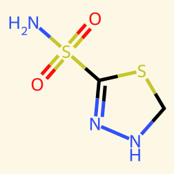 NS(=O)(=O)C1=NNCS1